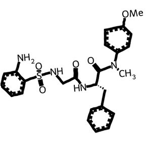 COc1ccc(N(C)C(=O)[C@H](Cc2ccccc2)NC(=O)CNS(=O)(=O)c2ccccc2N)cc1